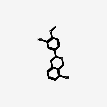 COc1ccc(C2Cc3cccc(O)c3CO2)cc1O